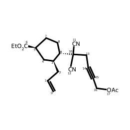 C=CC[C@H]1C[C@@H](C(=O)OCC)CC[C@@H]1C(C#N)(C#N)CC#CCOC(C)=O